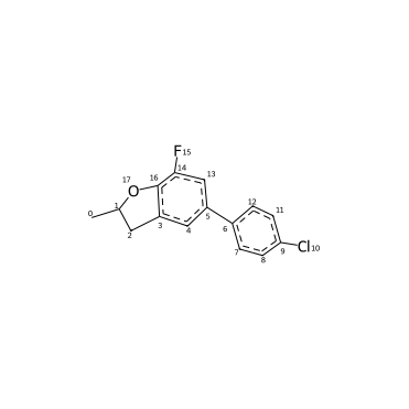 CC1Cc2cc(-c3ccc(Cl)cc3)cc(F)c2O1